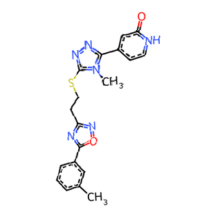 Cc1cccc(-c2nc(CCSc3nnc(-c4cc[nH]c(=O)c4)n3C)no2)c1